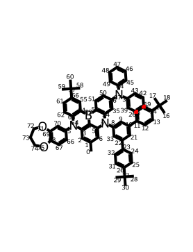 Cc1cc2c3c(c1)N(c1cc(-c4ccc(C(C)(C)C)cc4)cc(-c4ccc(C(C)(C)C)cc4)c1)c1cc(N(c4ccccc4)c4ccccc4)ccc1B3c1cc(C(C)(C)C)ccc1N2c1ccc2c(c1)OCCCO2